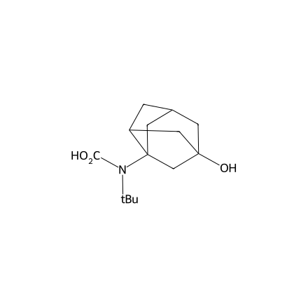 CC(C)(C)N(C(=O)O)C12CC3CC1CC(O)(C3)C2